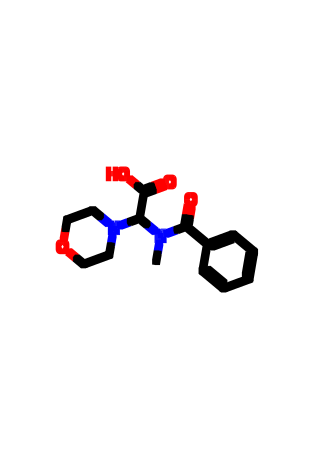 CN(C(=O)c1ccccc1)C(C(=O)O)N1CCOCC1